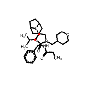 CCC(=O)N[C@@H](CCN1C2CCC1CC1(C2)CN(CC2CCOCC2)C(=O)N1C(C)C)c1ccccc1